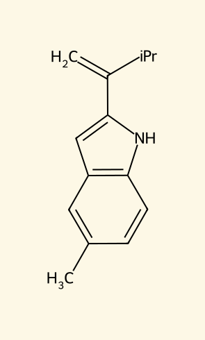 C=C(c1cc2cc(C)ccc2[nH]1)C(C)C